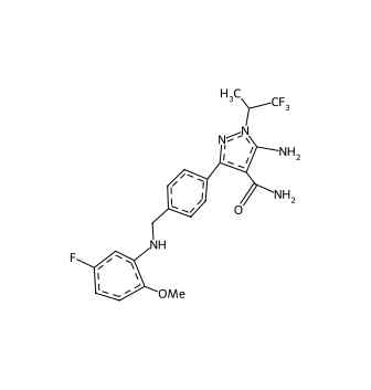 COc1ccc(F)cc1NCc1ccc(-c2nn(C(C)C(F)(F)F)c(N)c2C(N)=O)cc1